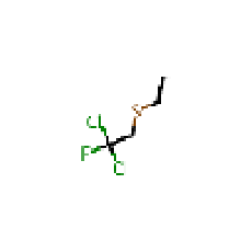 [CH2]CSCC(F)(Cl)Cl